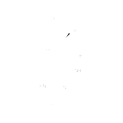 Nc1nc(=O)[nH]cc1C1O[C@H](CO)[C@@H](O)[C@@H]1O